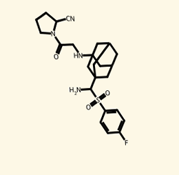 N#CC1CCCN1C(=O)CNC12CC3CC(C1)CC(C(N)S(=O)(=O)c1ccc(F)cc1)(C3)C2